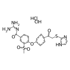 CS(=O)(=O)c1cc(C(=O)N=C(N)N)ccc1Oc1ccc(C(=O)CSc2ncc[nH]2)cc1.Cl.Cl